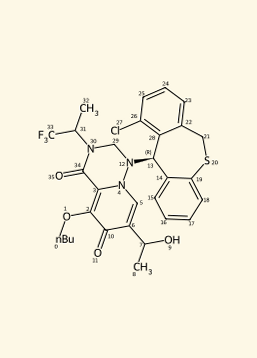 CCCCOc1c2n(cc(C(C)O)c1=O)N([C@@H]1c3ccccc3SCc3cccc(Cl)c31)CN(C(C)C(F)(F)F)C2=O